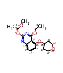 CCOc1nc(OC(C)OC)nc2cccc(OC3CCOCC3)c12